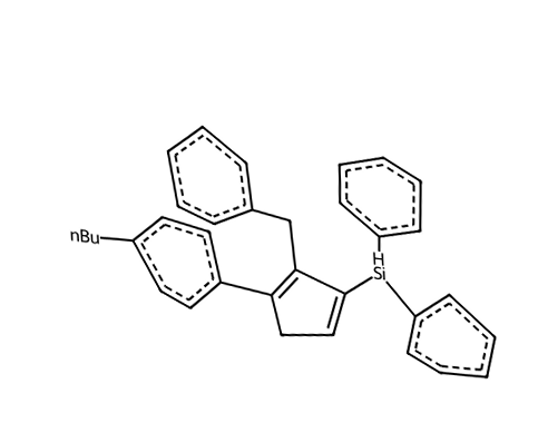 CCCCc1ccc(C2=C(Cc3ccccc3)C([SiH](c3ccccc3)c3ccccc3)=CC2)cc1